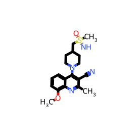 COc1cccc2c(N3CCC(CS(C)(=N)=O)CC3)c(C#N)c(C)nc12